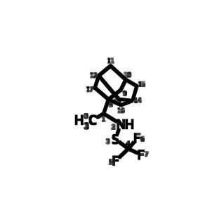 CC(NSC(F)(F)F)C12CC3CC(CC(C3)C1)C2